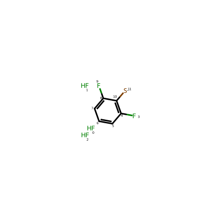 F.F.F.Fc1cccc(F)c1[S]